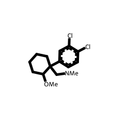 CNCC1(c2ccc(Cl)c(Cl)c2)CCCCC1OC